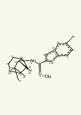 Cc1ccc2sc(C(=O)N[C@H]3C4CCN(CC4)C3(C)C)cc2c1.Cl